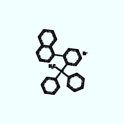 C[P+](c1ccccc1)(c1ccccc1)c1ccccc1-c1cccc2ccccc12.[Br-]